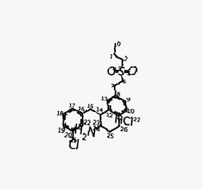 CCCS(=O)(=O)CCc1ccc2c(c1)C(Cc1cccc(Cl)c1)C(N)CC2.Cl